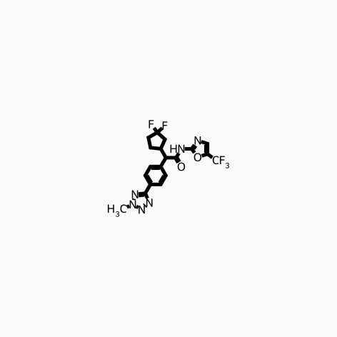 Cn1nnc(-c2ccc(C(C(=O)Nc3ncc(C(F)(F)F)o3)C3CCC(F)(F)C3)cc2)n1